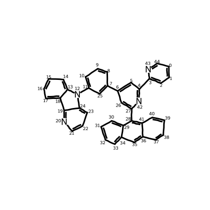 c1ccc(-c2cc(-c3cccc(-n4c5ccccc5c5ncccc54)c3)cc(-c3c4ccccc4cc4ccccc34)n2)nc1